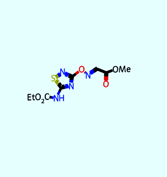 CCOC(=O)Nc1nc(ON=CC(=O)OC)ns1